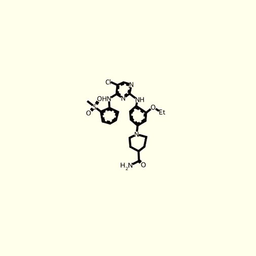 CCOc1cc(N2CCC(C(N)=O)CC2)ccc1Nc1ncc(Cl)c(Nc2ccccc2S(C)(=O)=O)n1